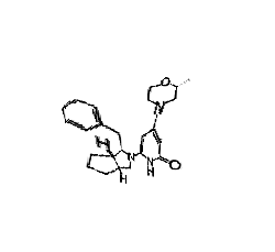 C[C@@H]1CN(c2cc(N3C[C@@H]4CCC[C@@H]4[C@H]3Cc3ccccc3)[nH]c(=O)c2)CCO1